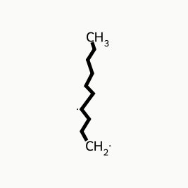 [CH2]CC[CH]CCCCCC